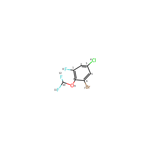 Fc1cc(Cl)cc(Br)c1OC(F)F